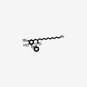 CC(C)CCCCCCCCCCC(Cc1cc(C(C)(C)C)c(O)c(C(C)(C)C)c1)C(=O)Oc1ccccc1